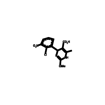 COC1=NC(c2cccc([N+](=O)[O-])c2Cl)C(C(=O)O)=C(C)N1